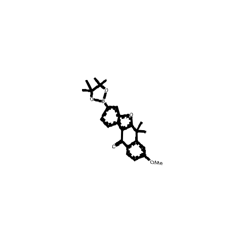 COc1ccc2c(c1)C(C)(C)c1oc3cc(B4OC(C)(C)C(C)(C)O4)ccc3c1C2=O